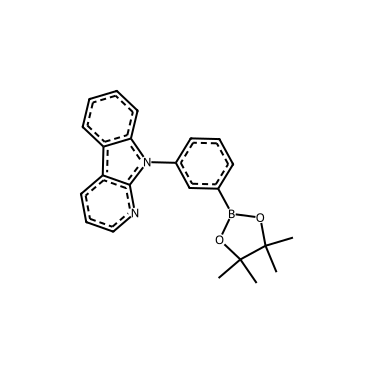 CC1(C)OB(c2cccc(-n3c4ccccc4c4cccnc43)c2)OC1(C)C